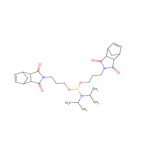 CC(C)N(C(C)C)P(OCCCN1C(=O)C2C3C=CC(C3)C2C1=O)OCCCN1C(=O)C2C3C=CC(C3)C2C1=O